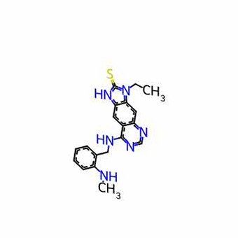 CCn1c(=S)[nH]c2cc3c(NCc4ccccc4NC)ncnc3cc21